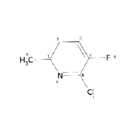 CC1CC=C(F)C(Cl)=N1